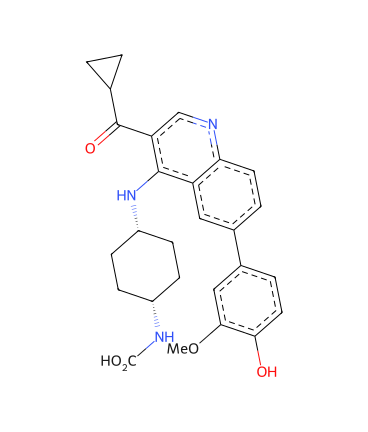 COc1cc(-c2ccc3ncc(C(=O)C4CC4)c(N[C@H]4CC[C@@H](NC(=O)O)CC4)c3c2)ccc1O